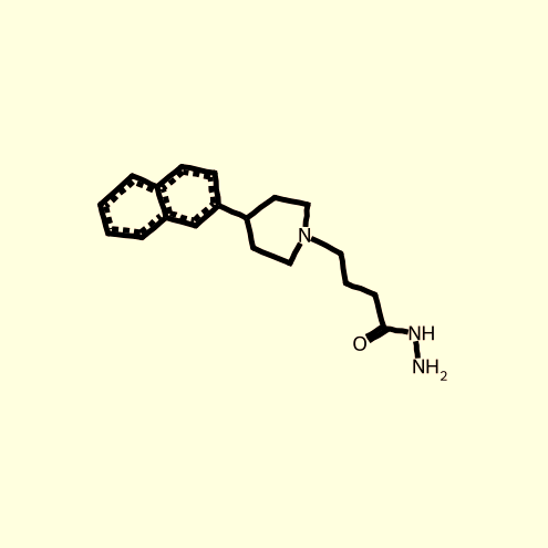 NNC(=O)CCCN1CCC(c2ccc3ccccc3c2)CC1